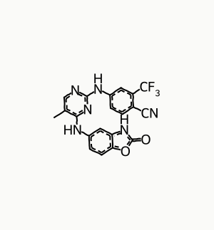 Cc1cnc(Nc2ccc(C#N)c(C(F)(F)F)c2)nc1Nc1ccc2oc(=O)[nH]c2c1